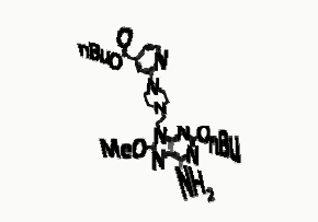 CCCCOC(=O)c1ccnc(N2CCN(CCn3c(OC)nc4c(N)nc(OCCCC)nc43)CC2)c1